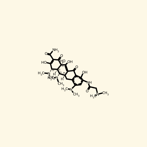 CN(C)CC(=O)Nc1cc(N(C)C)c2c(c1O)C(=O)C1=C(O)[C@]3(O)C(=O)C(C(N)=O)=C(O)[C@@H](N(C)C)[C@@H]3[C@@H](N(C)C)[C@@H]1C2